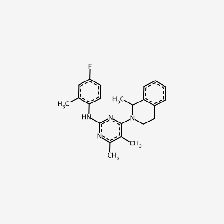 Cc1cc(F)ccc1Nc1nc(C)c(C)c(N2CCc3ccccc3C2C)n1